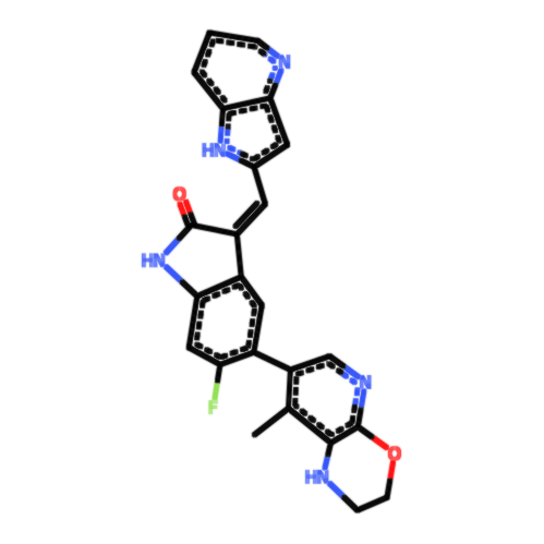 Cc1c(-c2cc3c(cc2F)NC(=O)/C3=C\c2cc3ncccc3[nH]2)cnc2c1NCCO2